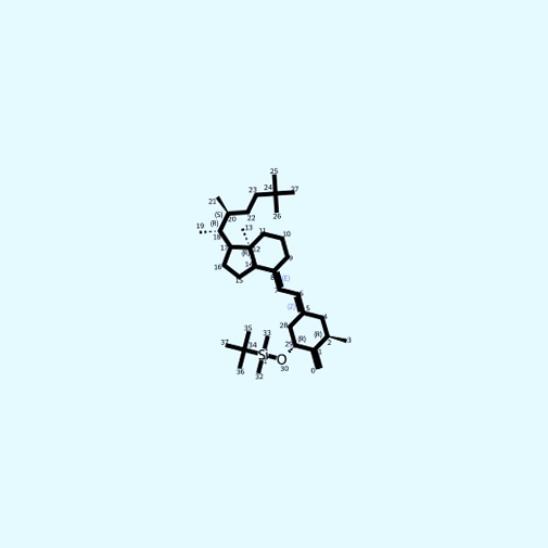 C=C1[C@H](C)C/C(=C/C=C2\CCC[C@@]3(C)C2CCC3[C@H](C)[C@@H](C)CCC(C)(C)C)C[C@H]1O[Si](C)(C)C(C)(C)C